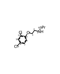 CCCNCCOc1ccc(Cl)cc1Cl